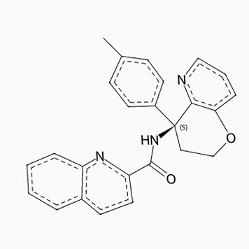 Cc1ccc([C@@]2(NC(=O)c3ccc4ccccc4n3)CCOc3cccnc32)cc1